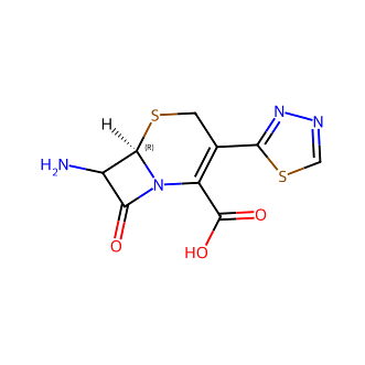 NC1C(=O)N2C(C(=O)O)=C(c3nncs3)CS[C@H]12